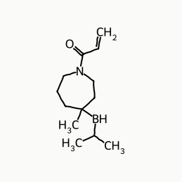 C=CC(=O)N1CCCC(C)(BC(C)C)CC1